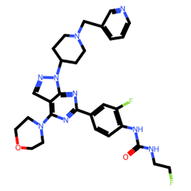 O=C(NCCF)Nc1ccc(-c2nc(N3CCOCC3)c3cnn(C4CCN(Cc5cccnc5)CC4)c3n2)cc1F